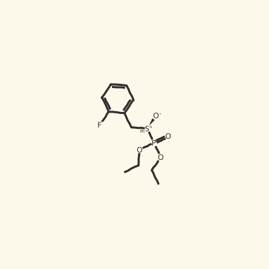 CCOP(=O)(OCC)[S@+]([O-])Cc1ccccc1F